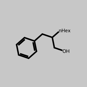 CCCCCCC(CO)Cc1ccccc1